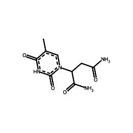 Cc1cn(C(CC(N)=O)C(N)=O)c(=O)[nH]c1=O